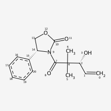 C=C[C@@H](O)C(C)(C)C(=O)N1C(=O)OC[C@H]1c1ccccc1